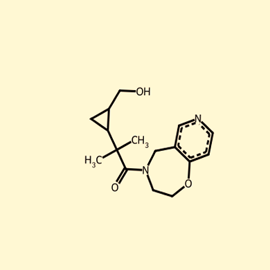 CC(C)(C(=O)N1CCOc2ccncc2C1)C1CC1CO